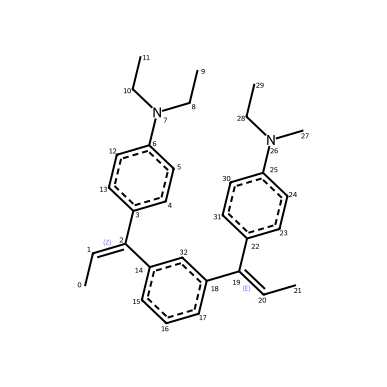 C/C=C(/c1ccc(N(CC)CC)cc1)c1cccc(/C(=C/C)c2ccc(N(C)CC)cc2)c1